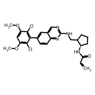 C=CC(=O)N[C@@H]1CCCC1CNc1ncc2cc(-c3c(Cl)c(OC)cc(OC)c3Cl)ccc2n1